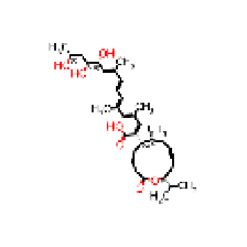 CC(=CC=CC(C)=C[C@@H](O)[C@H](O)C[C@@H](C)O)C=C(C)C=C(C(=O)O)[C@H]1CCCC(=O)O[C@@H](C(C)C)CC=CC[C@@H]1C